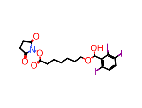 O=C(CCCCCCOC(O)c1c(I)ccc(I)c1I)ON1C(=O)CCC1=O